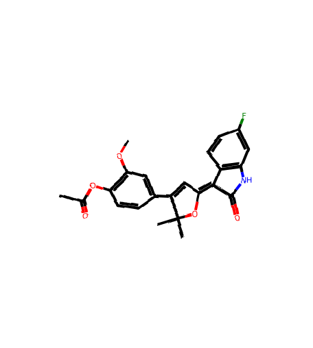 COc1cc(C2=CC(=C3C(=O)Nc4cc(F)ccc43)OC2(C)C)ccc1OC(C)=O